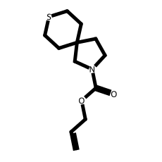 C=CCOC(=O)N1CCC2(CCSCC2)C1